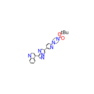 CC(C)(C)OC(=O)N1CCN(c2ccc(-c3cnc4c(-c5ccnc6ccccc56)cnn4c3)cn2)CC1